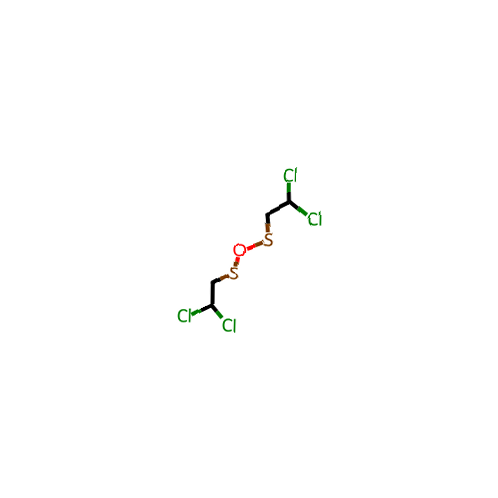 ClC(Cl)CSOSCC(Cl)Cl